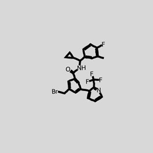 Cc1cc(C(NC(=O)c2cc(CBr)cc(-c3cccnc3C(F)(F)F)c2)C2CC2)ccc1F